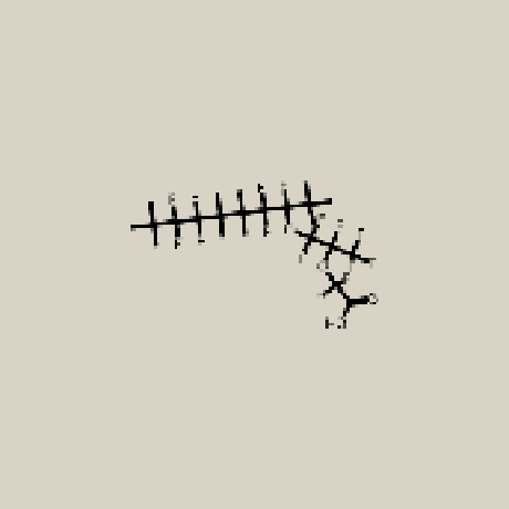 CC(C)(C)C(F)(F)C(F)(F)C(C)(C)C(C)(C)C(F)(F)C(F)(OC(F)(F)C(F)(OC(F)(F)C(=O)O)C(F)(F)F)C(C)(C)C